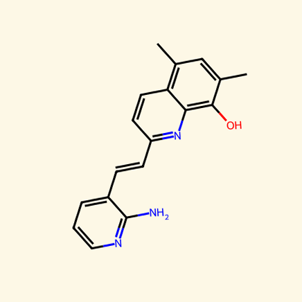 Cc1cc(C)c2ccc(/C=C/c3cccnc3N)nc2c1O